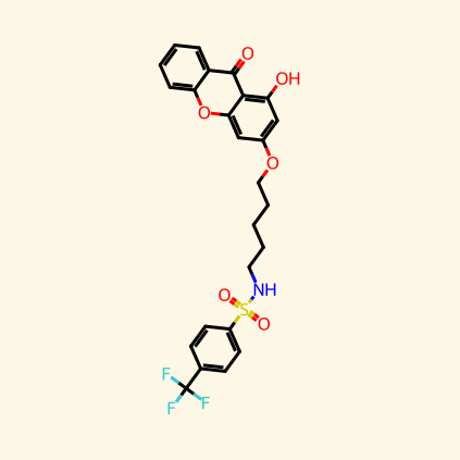 O=c1c2ccccc2oc2cc(OCCCCCNS(=O)(=O)c3ccc(C(F)(F)F)cc3)cc(O)c12